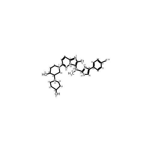 CCc1nc2ccc(N3CCC(O)C(N4CCC(O)CC4)C3)nn2c1N(C)c1nc(-c2ccc(F)cc2)cs1